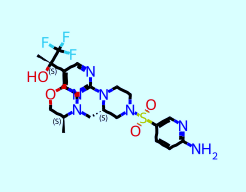 C[C@H]1COCCN1C[C@H]1CN(S(=O)(=O)c2ccc(N)nc2)CCN1c1ncc([C@](C)(O)C(F)(F)F)cn1